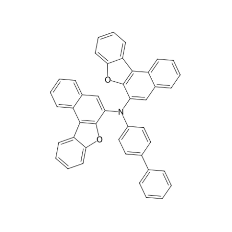 c1ccc(-c2ccc(N(c3cc4ccccc4c4c3oc3ccccc34)c3cc4ccccc4c4c3oc3ccccc34)cc2)cc1